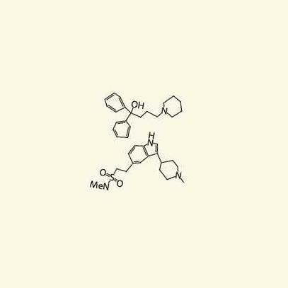 CNS(=O)(=O)CCc1ccc2[nH]cc(C3CCN(C)CC3)c2c1.OC(CCCN1CCCCC1)(c1ccccc1)c1ccccc1